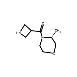 C[C@@H]1COCCN1C(=O)C1CNC1